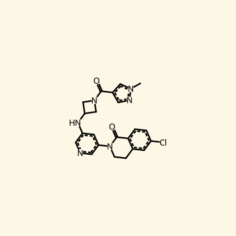 Cn1cc(C(=O)N2CC(Nc3cncc(N4CCc5cc(Cl)ccc5C4=O)c3)C2)cn1